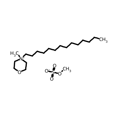 CCCCCCCCCCCCCC[N+]1(C)CCOCC1.COS(=O)(=O)[O-]